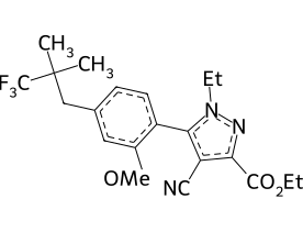 CCOC(=O)c1nn(CC)c(-c2ccc(CC(C)(C)C(F)(F)F)cc2OC)c1C#N